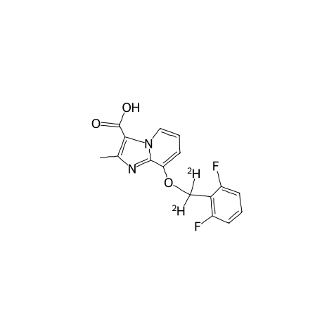 [2H]C([2H])(Oc1cccn2c(C(=O)O)c(C)nc12)c1c(F)cccc1F